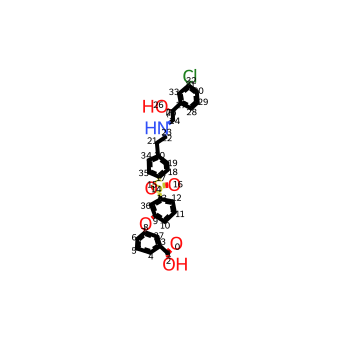 O=C(O)c1cccc(Oc2cccc(S(=O)(=O)c3ccc(CCNC[C@H](O)c4cccc(Cl)c4)cc3)c2)c1